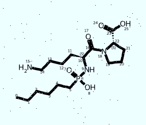 CCCCCCP(=O)(O)N[C@@H](CCCCN)C(=O)N1CCC[C@H]1C(=O)O